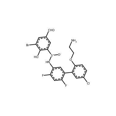 NCCOc1ccc(Cl)cc1-c1cc(N[S+]([O-])c2cc(C=O)cc(Br)c2O)c(F)cc1F